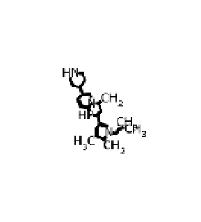 C=C1C(C)=CC(C2=CC(=C)N3C=C(C4CCNCC4)C=CC3P2)=CN1C=C(C)C